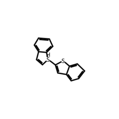 C1=C[SH](c2cc3ccccc3s2)c2ccccc21